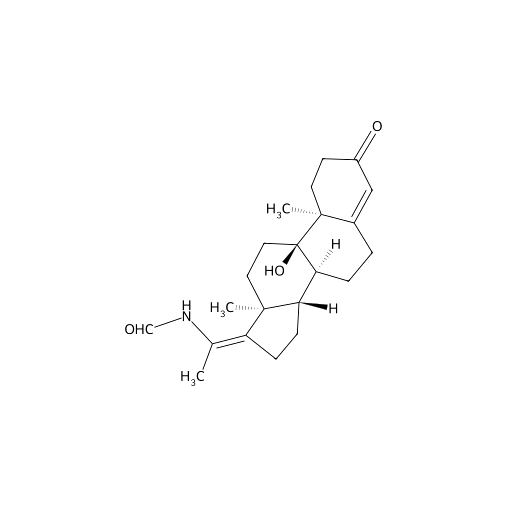 C/C(NC=O)=C1\CC[C@H]2[C@@H]3CCC4=CC(=O)CC[C@]4(C)[C@@]3(O)CC[C@]12C